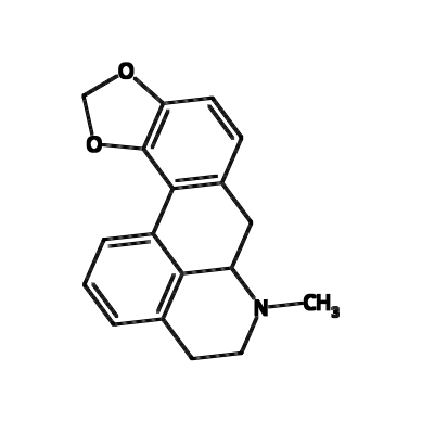 CN1CCc2cccc3c2C1Cc1ccc2c(c1-3)OCO2